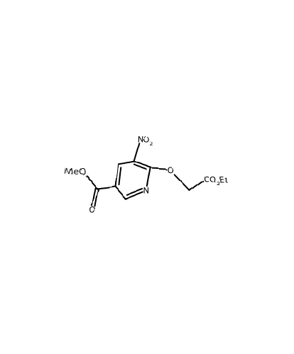 CCOC(=O)COc1ncc(C(=O)OC)cc1[N+](=O)[O-]